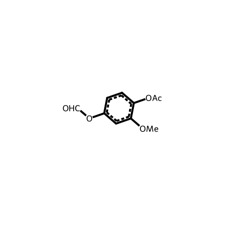 COc1cc(OC=O)ccc1OC(C)=O